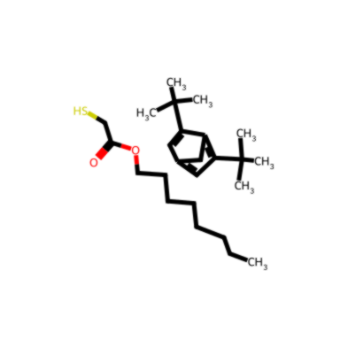 CC(C)(C)C1=CC2=CC(C(C)(C)C)=C1C2.CCCCCCCCOC(=O)CS